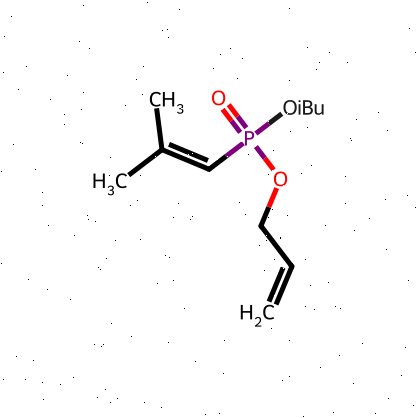 C=CCOP(=O)(C=C(C)C)OCC(C)C